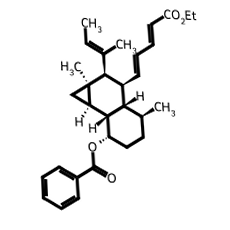 C/C=C(\C)[C@H]1[C@@H](/C=C/C=C/C(=O)OCC)[C@H]2[C@H]([C@@H](OC(=O)c3ccccc3)CC[C@@H]2C)[C@H]2C[C@]21C